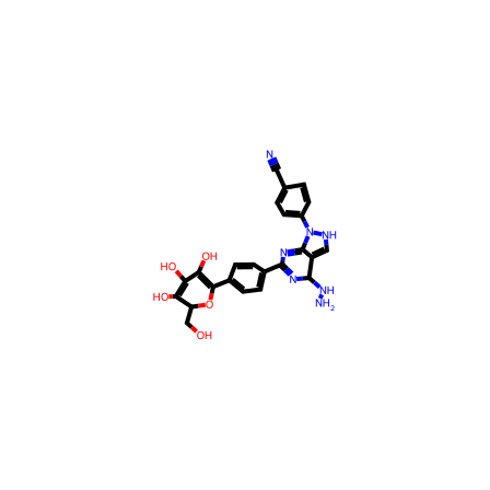 N#Cc1ccc(N2NC=C3C2=NC(c2ccc(C4=C(O)C(O)=C(O)C(CO)O4)cc2)=NC3NN)cc1